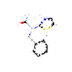 NC(=O)N(Cc1ccccc1)c1nccs1